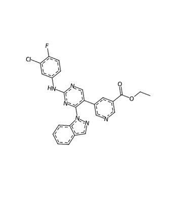 CCOC(=O)c1cncc(-c2cnc(Nc3ccc(F)c(Cl)c3)nc2-n2ncc3ccccc32)c1